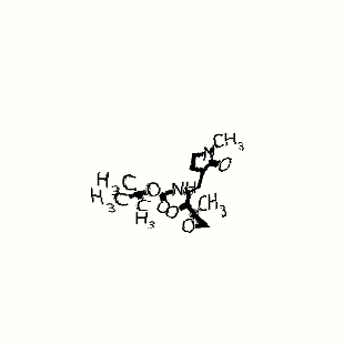 CN1CCC(C[C@H](NC(=O)OC(C)(C)C)C(=O)[C@@]2(C)CO2)C1=O